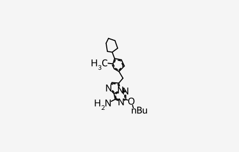 CCCCOc1nc(N)c2ncc(Cc3ccc(C4CCCCC4)c(C)c3)n2n1